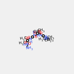 COc1cc(OC)c(C(=O)Nc2ccc(NC(=O)c3cc(C(=O)Nc4ccc(N=C(N(C)C)N(C)C)cc4)c(OC)cc3OC)cc2)cc1C(=O)NCCN